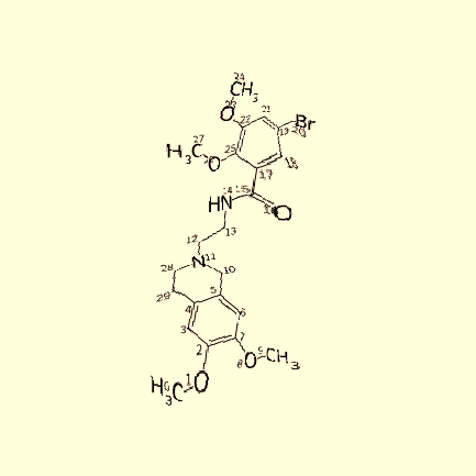 COc1cc2c(cc1OC)CN(CCNC(=O)c1cc(Br)cc(OC)c1OC)CC2